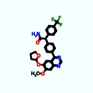 COc1cc2ncnc(-c3ccc(C(C(N)=O)c4ccc(C(F)(F)F)cc4)cc3)c2cc1OC1CCCO1